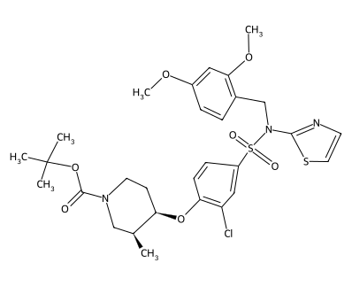 COc1ccc(CN(c2nccs2)S(=O)(=O)c2ccc(O[C@@H]3CCN(C(=O)OC(C)(C)C)C[C@@H]3C)c(Cl)c2)c(OC)c1